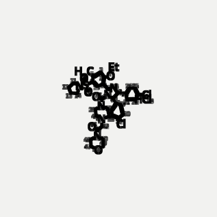 CCOc1cc(C)c(S(=O)(=O)N2CCCC2)cc1C1=N[C@@H](c2ccc(Cl)cc2)[C@@H](c2ccc(Cl)cc2)N1C(=O)N1CCN(CC(=O)N2CCOCC2)CC1.Cl